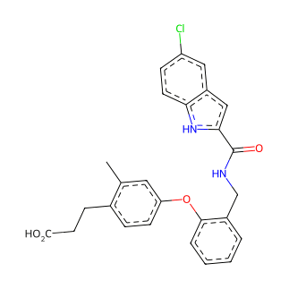 Cc1cc(Oc2ccccc2CNC(=O)c2cc3cc(Cl)ccc3[nH]2)ccc1CCC(=O)O